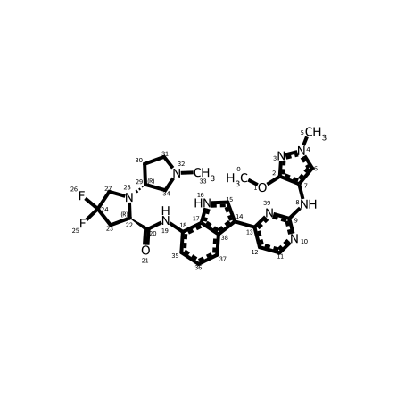 COc1nn(C)cc1Nc1nccc(-c2c[nH]c3c(NC(=O)[C@H]4CC(F)(F)CN4[C@@H]4CCN(C)C4)cccc23)n1